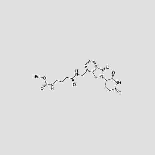 CC(C)(C)OC(=O)NCCCC(=O)NCc1cccc2c1CN(C1CCC(=O)NC1=O)C2=O